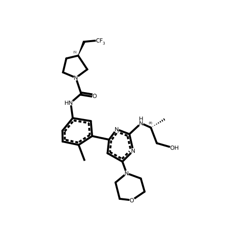 Cc1ccc(NC(=O)N2CC[C@@H](CC(F)(F)F)C2)cc1-c1cc(N2CCOCC2)nc(N[C@H](C)CO)n1